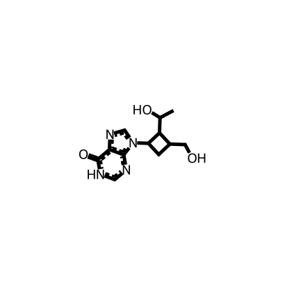 CC(O)C1C(CO)CC1n1cnc2c(=O)[nH]cnc21